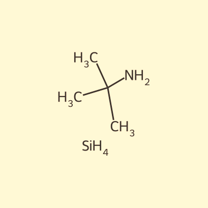 CC(C)(C)N.[SiH4]